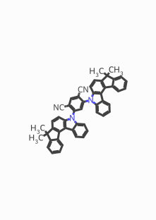 CC1(C)c2ccccc2-c2c1ccc1c2c2ccccc2n1-c1cc(-n2c3ccccc3c3c4c(ccc32)C(C)(C)c2ccccc2-4)c(C#N)cc1C#N